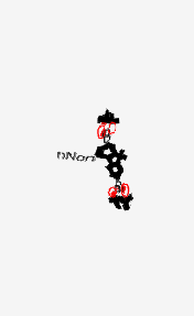 CCCCCCCCCc1cc(B2OC(C)(C)C(C)(C)O2)cc2c1-c1ccc(B3OC(C)(C)C(C)(C)O3)cc1C2(C)C